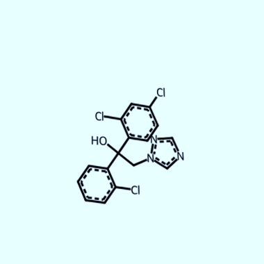 OC(Cn1cncn1)(c1ccccc1Cl)c1ccc(Cl)cc1Cl